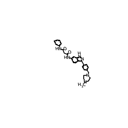 CN1CCN(Cc2ccc(-c3n[nH]c4cc(NC(=O)CC(=O)Nc5ccccc5)ccc34)cc2)CC1